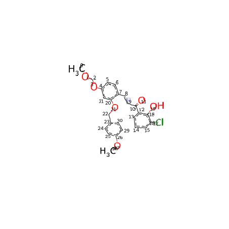 COCOc1ccc(/C=C/C(=O)c2cccc(Cl)c2O)c(OCc2ccc(OC)cc2)c1